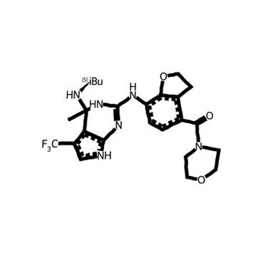 CC[C@H](C)NC1(C)NC(Nc2ccc(C(=O)N3CCOCC3)c3c2OCC3)=Nc2[nH]cc(C(F)(F)F)c21